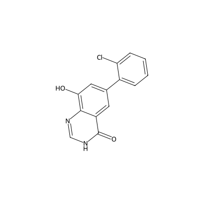 O=c1[nH]cnc2c(O)cc(-c3ccccc3Cl)cc12